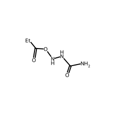 CCC(=O)ONNC(N)=O